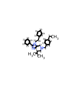 CCc1ccc(CN(CCC(C)C)Cc2cnc(-c3ccccc3)n2CCc2ccccc2)cc1